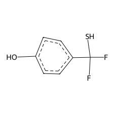 Oc1ccc(C(F)(F)S)cc1